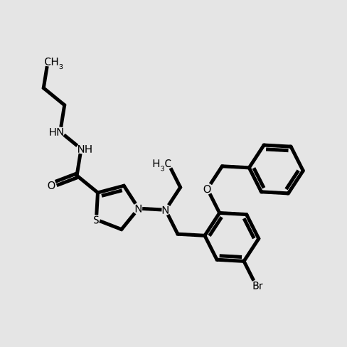 CCCNNC(=O)C1=CN(N(CC)Cc2cc(Br)ccc2OCc2ccccc2)CS1